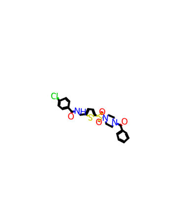 O=C(NCc1ccc(S(=O)(=O)N2CCN(C(=O)c3ccccc3)CC2)s1)c1ccc(Cl)cc1